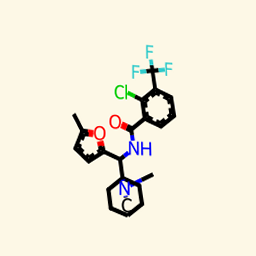 Cc1ccc(C(NC(=O)c2cccc(C(F)(F)F)c2Cl)C23CCC(CC2)CN3C)o1